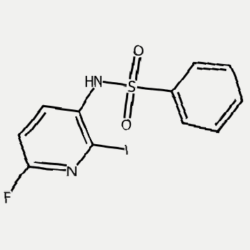 O=S(=O)(Nc1ccc(F)nc1I)c1ccccc1